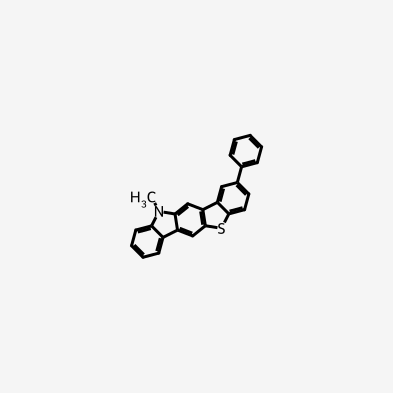 Cn1c2ccccc2c2cc3sc4ccc(-c5ccccc5)cc4c3cc21